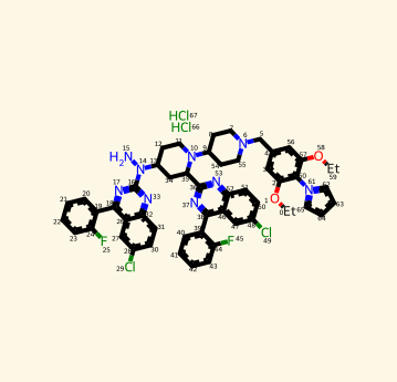 CCOc1cc(CN2CCC(N3CCC(N(N)c4nc(-c5ccccc5F)c5cc(Cl)ccc5n4)CC3c3nc(-c4ccccc4F)c4cc(Cl)ccc4n3)CC2)cc(OCC)c1-n1cccc1.Cl.Cl